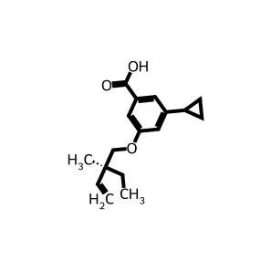 C=C[C@](C)(CC)COc1cc(C(=O)O)cc(C2CC2)c1